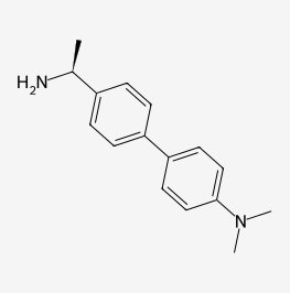 C[C@H](N)c1ccc(-c2ccc(N(C)C)cc2)cc1